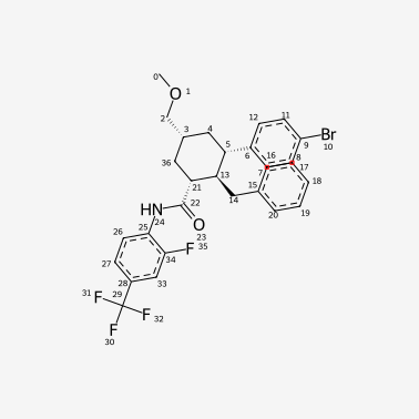 COC[C@@H]1C[C@H](c2ccc(Br)cc2)[C@@H](Cc2ccccc2)[C@H](C(=O)Nc2ccc(C(F)(F)F)cc2F)C1